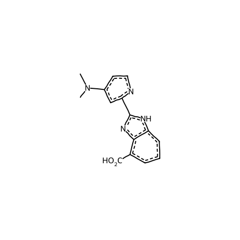 CN(C)c1ccnc(-c2nc3c(C(=O)O)cccc3[nH]2)c1